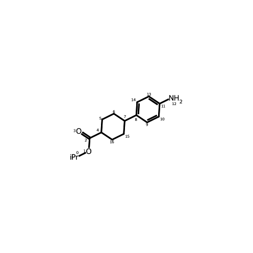 CC(C)OC(=O)C1CCC(c2ccc(N)cc2)CC1